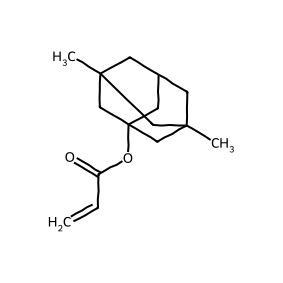 C=CC(=O)OC12CC3CC(C)(CC(C)(C3)C1)C2